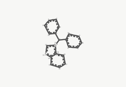 c1ccc(C(c2ccccc2)[n+]2csc3ccccc32)cc1